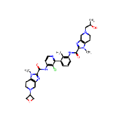 Cc1c(NC(=O)c2nc3c(n2C)CCN(CC(C)O)C3)cccc1-c1nccc(NC(=O)c2nc3c(n2C)CCN(C2COC2)C3)c1Cl